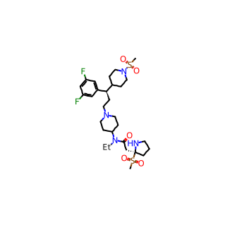 CCN(C(=O)C[C@@]1(S(C)(=O)=O)CCCN1)C1CCN(CC[C@@H](c2cc(F)cc(F)c2)C2CCN(S(C)(=O)=O)CC2)CC1